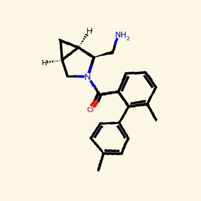 Cc1ccc(-c2c(C)cccc2C(=O)N2C[C@H]3C[C@H]3[C@H]2CN)cc1